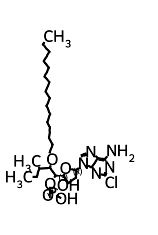 CCCCCCCCCCCCCCCCOC(C(C)CC)C(OP(=O)(O)O)[C@@H]1CC[C@H](n2cnc3c(N)nc(Cl)nc32)O1